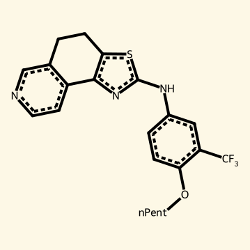 CCCCCOc1ccc(Nc2nc3c(s2)CCc2cnccc2-3)cc1C(F)(F)F